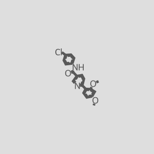 COc1ccc(-c2ccc(C(=O)Nc3ccc(Cl)cc3)cn2)c(OC)c1